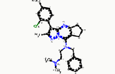 COc1ccc(-c2c(C)nn3c(N(CCN(C)C)Cc4ccccc4)c4c(nc23)CCC4)c(Cl)c1